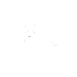 CO[Si](C)(C)CCCCc1cc(F)c(F)c(F)c1F